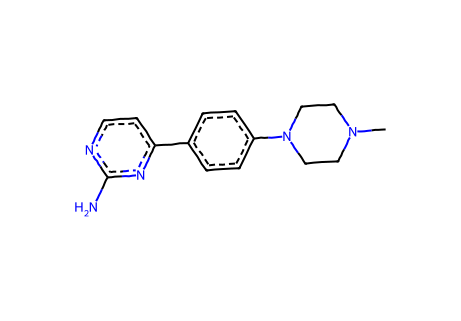 CN1CCN(c2ccc(-c3ccnc(N)n3)cc2)CC1